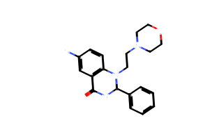 Nc1ccc2c(c1)C(=O)NC(c1ccccc1)N2CCN1CCOCC1